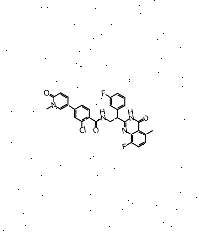 Cc1ccc(F)c2nc(C(CNC(=O)c3ccc(-c4ccc(=O)n(C)c4)cc3Cl)c3cccc(F)c3)[nH]c(=O)c12